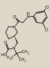 CC(C)(C)N(C[C@H]1CCCN(C(=O)CNc2cc(Cl)cc(Cl)c2)C1)C(=O)O